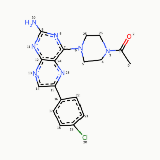 CC(=O)N1CCN(c2nc(N)nc3ncc(-c4ccc(Cl)cc4)nc23)CC1